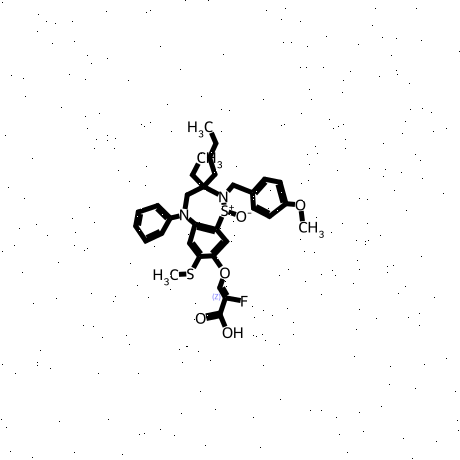 CCCCC1(CC)CN(c2ccccc2)c2cc(SC)c(O/C=C(\F)C(=O)O)cc2[S+]([O-])N1Cc1ccc(OC)cc1